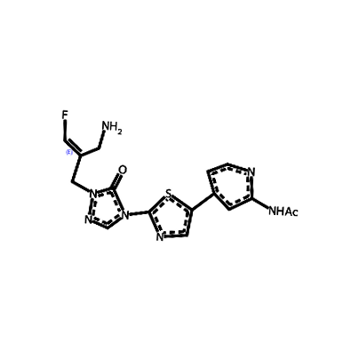 CC(=O)Nc1cc(-c2cnc(-n3cnn(C/C(=C/F)CN)c3=O)s2)ccn1